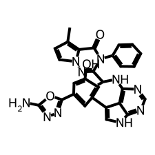 Cc1ccn2nc(C(C)Nc3ncnc4[nH]cc(-c5cc(O)cc(-c6nnc(N)o6)c5)c34)n(-c3ccccc3)c(=O)c12